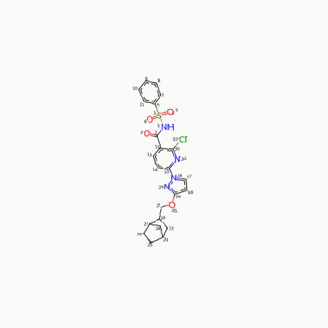 O=C(NS(=O)(=O)c1ccccc1)c1ccc(-n2ccc(OCC3CC4CCC3C4)n2)nc1Cl